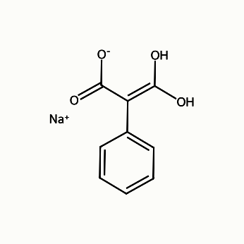 O=C([O-])C(=C(O)O)c1ccccc1.[Na+]